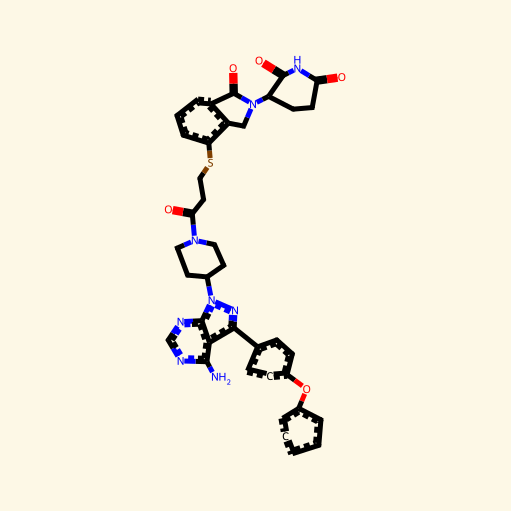 Nc1ncnc2c1c(-c1ccc(Oc3ccccc3)cc1)nn2C1CCN(C(=O)CCSc2cccc3c2CN(C2CCC(=O)NC2=O)C3=O)CC1